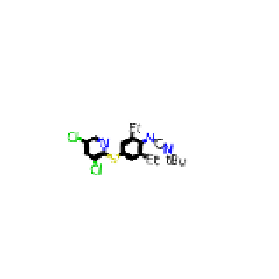 CCc1cc(Sc2ncc(Cl)cc2Cl)cc(CC)c1N=C=NC(C)(C)C